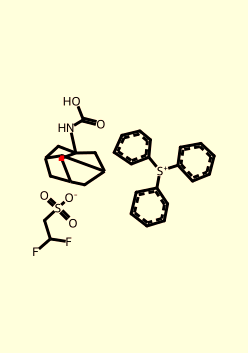 O=C(O)NC12CC3CC(CC(C3)C1)C2.O=S(=O)([O-])CC(F)F.c1ccc([S+](c2ccccc2)c2ccccc2)cc1